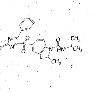 CC(C)NC(=O)N1c2ccc(S(=O)(=O)C3=NC(=O)N=C3c3ccccc3)cc2CC1C